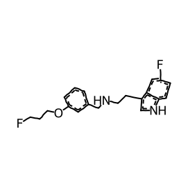 FCCCOc1cccc(CNCCc2c[nH]c3ccc(F)cc23)c1